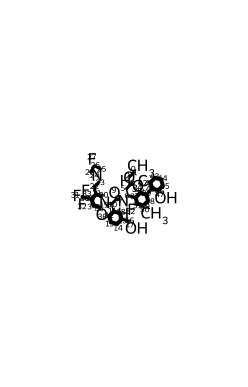 CCOC(=O)C[C@H](NC(=O)[C@@H](c1cccc(CO)c1)n1cc(CCN2CC(F)C2)c(C(F)(F)F)cc1=O)c1cc(-c2c(C)cccc2O)cc(C)c1F